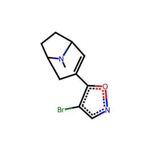 CN1C2C=C(c3oncc3Br)CC1CC2